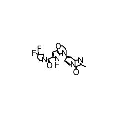 CC1=NC2C=C(N3CCOc4cc(C(=O)N5CCC(F)(F)C5)[nH]c43)C=CN2C1=O